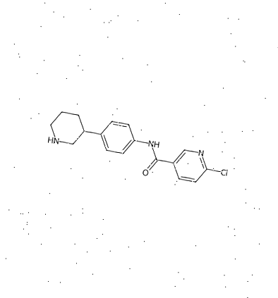 O=C(Nc1ccc(C2CCCNC2)cc1)c1ccc(Cl)nc1